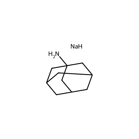 NC12CC3CC(CC(C3)C1)C2.[NaH]